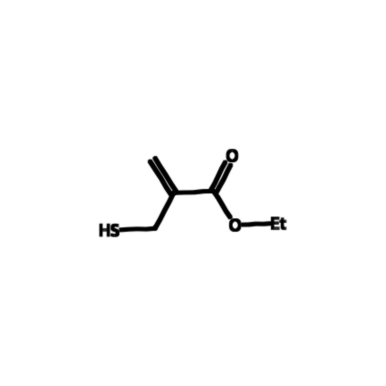 C=C(CS)C(=O)OCC